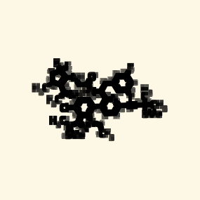 CSN(C)c1nn(CC(F)(F)F)c2c(-c3ccc(C#CC(C)(C)SC)nc3C(Cc3cc(F)cc(F)c3)NC(=O)CNC3=C(C(=N)C(F)(F)F)[C@@H](C)CC3(F)F)ccc(Cl)c12